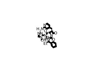 CC[C@@H](NC(=O)N1C(=O)[C@H](Cc2ccnc(N)c2)[C@H]1C(=O)N(C)c1nncn1C)c1ccccc1